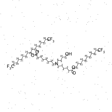 O=C(CCCCCN(CCCCO)CCCCCCCC(=O)OC(CCCCCCCC(F)(F)F)CCCCCCCC(F)(F)F)OCCCCCCCCCCC(F)(F)F